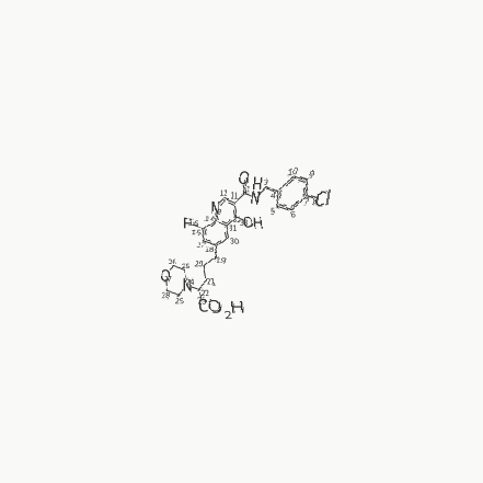 O=C(NCc1ccc(Cl)cc1)c1cnc2c(F)cc(CCCC(C(=O)O)N3CCOCC3)cc2c1O